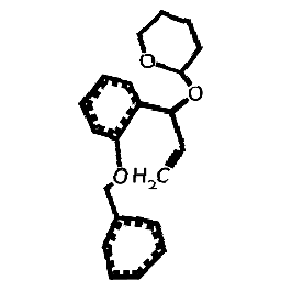 C=CC(OC1CCCCO1)c1ccccc1OCc1ccccc1